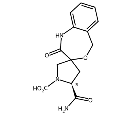 NC(=O)[C@@H]1CC2(CN1C(=O)O)OCc1ccccc1NC2=O